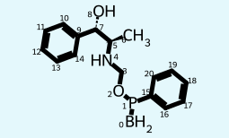 BP(OCN[C@H](C)[C@@H](O)c1ccccc1)c1ccccc1